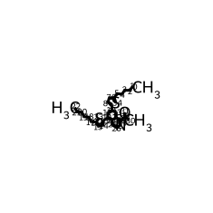 CCCCCCc1ccc(-c2cc(-c3ccc(CCCCCC)s3)c3ccnc(C(C)=O)c3c2)s1